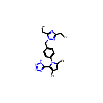 CC(C)Cc1nc(CC(C)C)n(Cc2ccc(-n3c(C(C)C)cc(C(C)C)c3-c3nnn[nH]3)cc2)n1